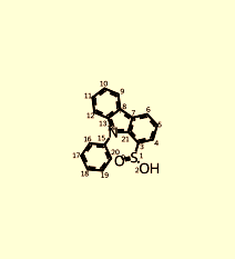 O=S(O)c1cccc2c3ccccc3n(-c3ccccc3)c12